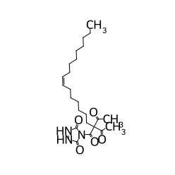 CCCCCCCC/C=C\CCCCCCC(C(C)=O)(C(C)=O)C(=O)n1c(=O)[nH][nH]c1=O